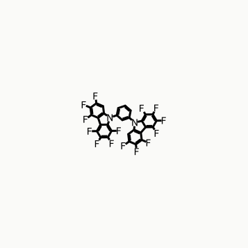 Fc1cc2c(c(F)c1F)c1c(F)c(F)c(F)c(F)c1n2-c1cccc(-n2c3cc(F)c(F)c(F)c3c3c(F)c(F)c(F)c(F)c32)c1